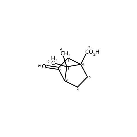 CC1(C)C2CCC1(C(=O)O)CC2=O